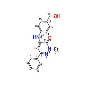 CCn1nc(-c2ccccc2)cc(Nc2ccc(CO)cc2)c1=O